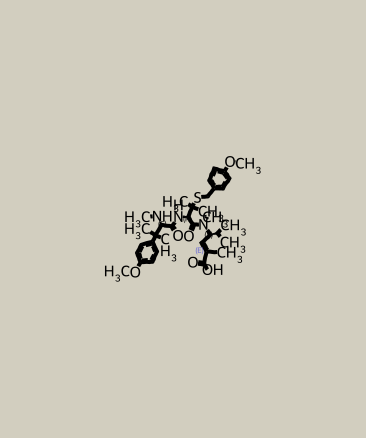 CN[C@H](C(=O)N[C@H](C(=O)N(C)[C@H](/C=C(\C)C(=O)O)C(C)C)C(C)(C)SCc1ccc(OC)cc1)C(C)(C)c1ccc(OC)cc1